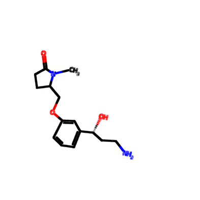 CN1C(=O)CCC1COc1cccc([C@H](O)CCN)c1